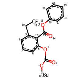 CC(C)(C)OC(=O)Oc1cccc(CC(F)(F)F)c1C(=O)Oc1ccccc1